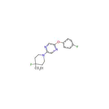 CCOC(=O)C1(F)CCN(c2cnc(Oc3ccc(F)cc3)cn2)CC1